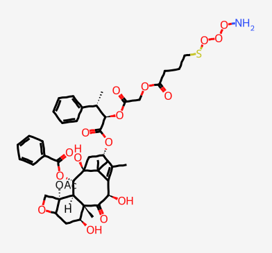 CC(=O)O[C@@]12COC1C[C@H](O)[C@@]1(C)C(=O)[C@H](O)C3=C(C)[C@@H](OC(=O)[C@H](OC(=O)COC(=O)CCCSOOON)[C@@H](C)c4ccccc4)C[C@@](O)([C@@H](OC(=O)c4ccccc4)[C@@H]12)C3(C)C